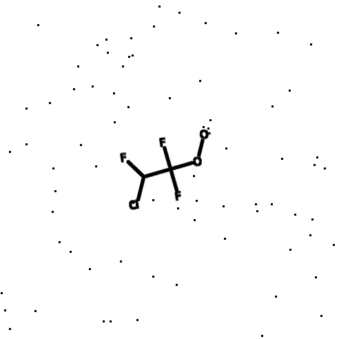 [O]OC(F)(F)[C](F)Cl